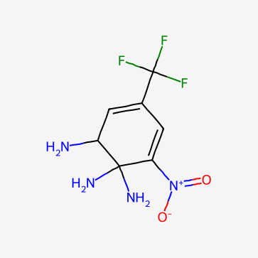 NC1C=C(C(F)(F)F)C=C([N+](=O)[O-])C1(N)N